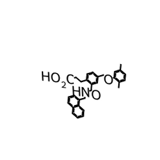 Cc1ccc(C)c(OCc2ccc(CCC(=O)O)c(C(=O)NCc3cccc4ccccc34)c2)c1